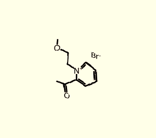 COCC[n+]1ccccc1C(C)=O.[Br-]